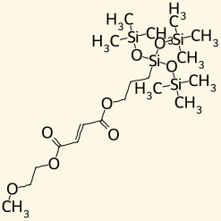 COCCOC(=O)/C=C/C(=O)OCCC[Si](O[Si](C)(C)C)(O[Si](C)(C)C)O[Si](C)(C)C